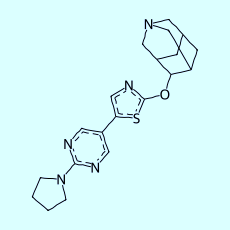 c1nc(N2CCCC2)ncc1-c1cnc(OC2C3CC4CC2CN(C4)C3)s1